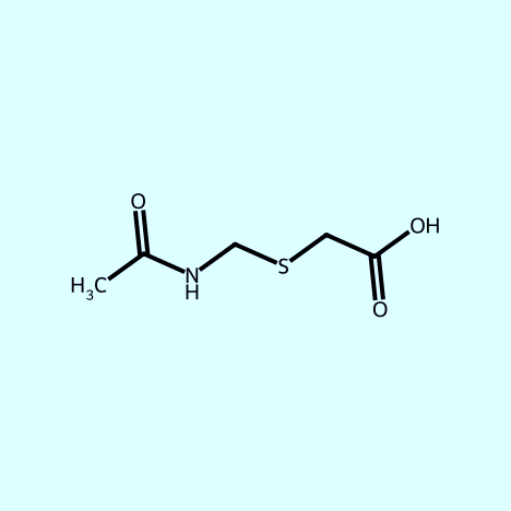 CC(=O)NCSCC(=O)O